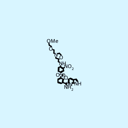 COCCOCCN1CCOC(CNc2ccc(S(=O)(=O)c3cccc(C(N)=O)c3Oc3cnc4[nH]ccc4c3)cc2[N+](=O)[O-])C1